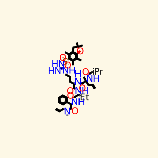 C=CCN(C)C(=O)C(NC(=O)C(CC)NC(=O)C(CCCNC(=N)NS(=O)(=O)c1c(C)c(C)c2c(c1C)CC(C)(C)O2)NC(=O)C(C)(CC=C)NC(=O)C(C)C)c1ccccc1